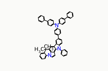 CC1(C)c2ccccc2-n2ccc3c2c1cc1c2cc(-c4ccc(N(c5ccc(-c6ccccc6)cc5)c5ccc(-c6ccccc6)cc5)cc4)ccc2n(-c2ccccc2)c13